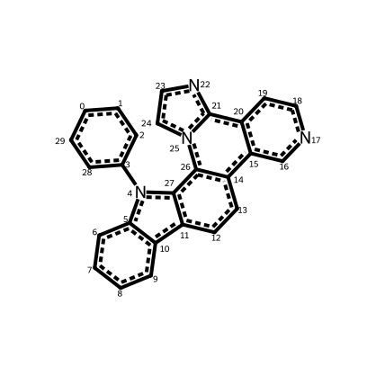 c1ccc(-n2c3ccccc3c3ccc4c5cnccc5c5nccn5c4c32)cc1